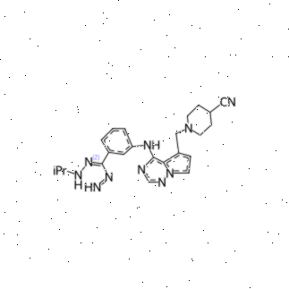 CC(C)N/N=C(\N=N)c1cccc(Nc2ncnn3ccc(CN4CCC(C#N)CC4)c23)c1